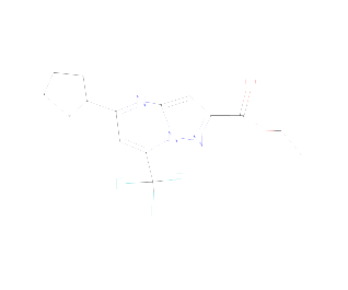 CCOC(=O)c1cc2nc(C3CCCC3)cc(C(F)(F)F)n2n1